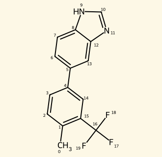 Cc1ccc(-c2ccc3[nH]cnc3c2)cc1C(F)(F)F